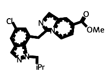 COC(=O)c1ccn2c(Cc3cc(Cl)cc4cnn(CC(C)C)c34)ncc2c1